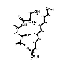 C=C(C)C(=O)OC(C)NC(=O)C(O)CO.CCCCCCCCCCCCCCCCCCC=C(C)C(=O)O